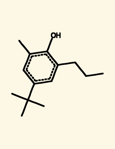 CCCc1cc(C(C)(C)C)cc(C)c1O